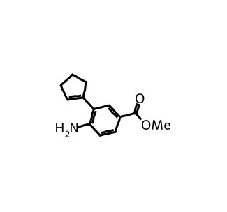 COC(=O)c1ccc(N)c(C2=CCCC2)c1